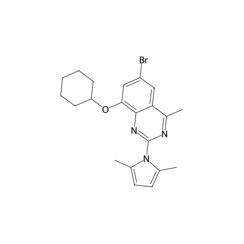 Cc1nc(-n2c(C)ccc2C)nc2c(OC3CCCCC3)cc(Br)cc12